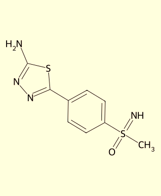 CS(=N)(=O)c1ccc(-c2nnc(N)s2)cc1